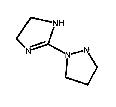 C1C[N]N(C2=NCCN2)C1